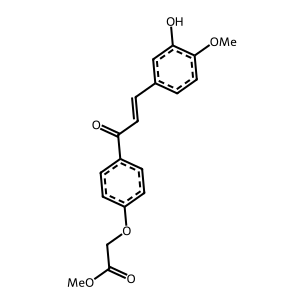 COC(=O)COc1ccc(C(=O)/C=C/c2ccc(OC)c(O)c2)cc1